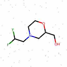 OCC1CN(CC(F)F)CCO1